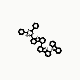 c1ccc(C2=NC(c3ccccc3)NC(c3cccc4c3sc3cccc(-c5cccc6c5oc5c(-n7c8ccccc8c8ccccc87)cccc56)c34)=N2)cc1